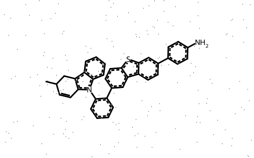 CC1C=Cc2c(c3ccccc3n2-c2ccccc2-c2ccc3sc4cc(-c5ccc(N)cc5)ccc4c3c2)C1